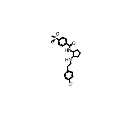 CS(=O)(=O)c1ccc(C(=O)NC2CCCC2NCCc2ccc(Cl)cc2)cc1